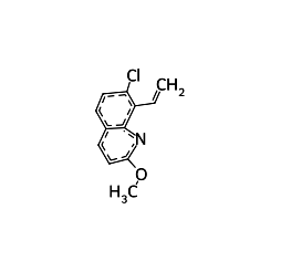 C=Cc1c(Cl)ccc2ccc(OC)nc12